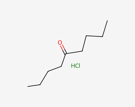 CCCCC(=O)CCCC.Cl